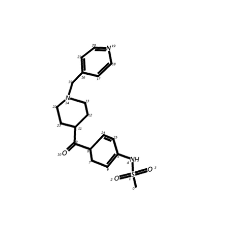 CS(=O)(=O)NC1=CCC(C(=O)C2CCN(Cc3ccncc3)CC2)C=C1